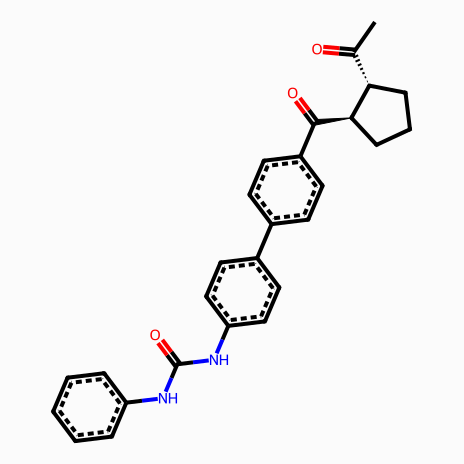 CC(=O)[C@@H]1CCC[C@H]1C(=O)c1ccc(-c2ccc(NC(=O)Nc3ccccc3)cc2)cc1